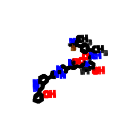 Cc1ncsc1-c1ccc([C@H](C)NC(=O)[C@@H]2C[C@@H](O)CN2C(=O)C(c2cc(-c3cnc(N4CC(c5ccc6nnc(-c7ccccc7O)cc6c5)C4)nc3)no2)C(C)C)cc1